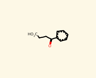 O=C(O)[CH]CC(=O)c1ccccc1